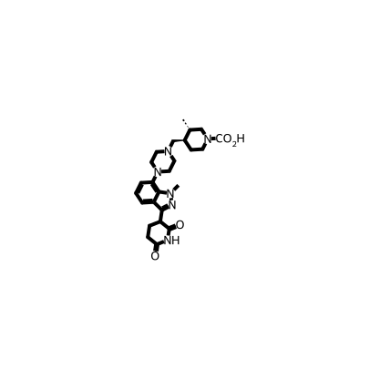 C[C@@H]1CN(C(=O)O)CC[C@H]1CN1CCN(c2cccc3c(C4CCC(=O)NC4=O)nn(C)c23)CC1